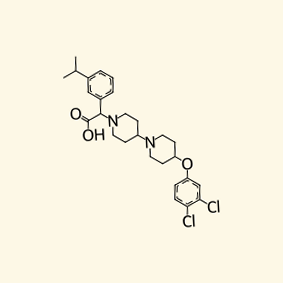 CC(C)c1cccc(C(C(=O)O)N2CCC(N3CCC(Oc4ccc(Cl)c(Cl)c4)CC3)CC2)c1